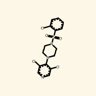 O=S(=O)(c1ccccc1Cl)N1CCN(c2c(Cl)cncc2Cl)CC1